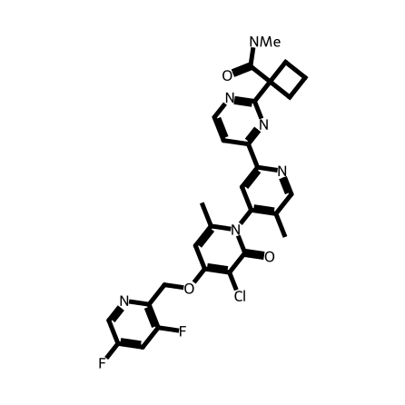 CNC(=O)C1(c2nccc(-c3cc(-n4c(C)cc(OCc5ncc(F)cc5F)c(Cl)c4=O)c(C)cn3)n2)CCC1